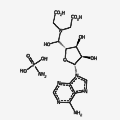 NP(=O)(O)O.Nc1ncnc2c1ncn2[C@@H]1O[C@H](C(O)N(CC(=O)O)CC(=O)O)[C@@H](O)[C@H]1O